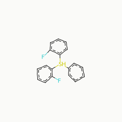 Fc1ccccc1[SH](c1ccccc1)c1ccccc1F